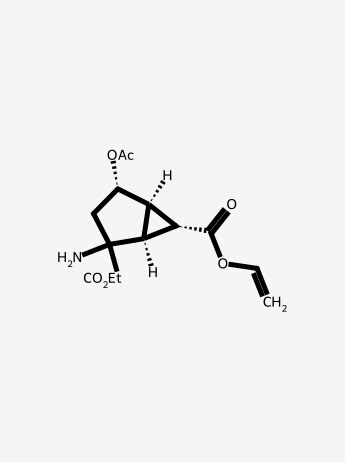 C=COC(=O)[C@H]1[C@H]2[C@@H]1C(N)(C(=O)OCC)C[C@@H]2OC(C)=O